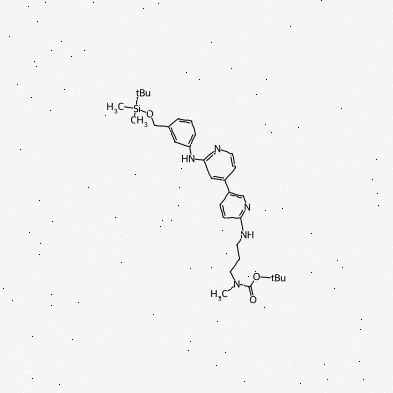 CN(CCCNc1ccc(-c2ccnc(Nc3cccc(CO[Si](C)(C)C(C)(C)C)c3)c2)cn1)C(=O)OC(C)(C)C